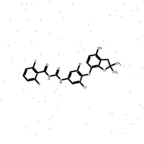 CC1(C)Cc2c(C#N)ccc(Oc3c(Cl)cc(NC(=O)NC(=O)c4c(F)cccc4F)cc3Cl)c2O1